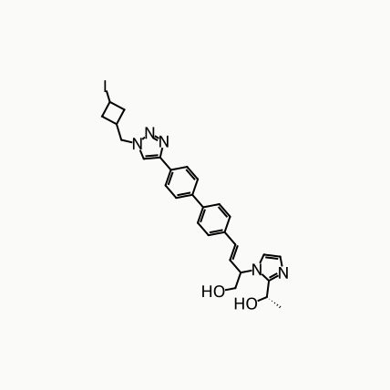 C[C@H](O)c1nccn1C(/C=C/c1ccc(-c2ccc(-c3cn(CC4CC(I)C4)nn3)cc2)cc1)CO